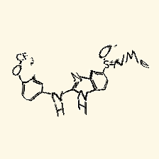 CN[S+]([O-])c1ccc2[nH]c(Nc3ccc(OC(F)(F)F)cc3)nc2c1